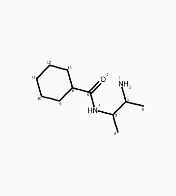 CC(N)C(C)NC(=O)C1CCCCC1